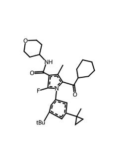 Cc1c(C(=O)NC2CCOCC2)c(F)n(-c2cc(C(C)(C)C)cc(C3(C)CC3)c2)c1C(=O)C1CCCCC1